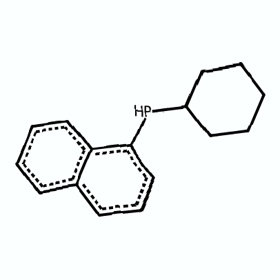 c1ccc2c(PC3CCCCC3)cccc2c1